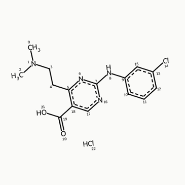 CN(C)CCc1nc(Nc2cccc(Cl)c2)ncc1C(=O)O.Cl